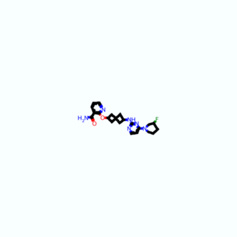 NC(=O)c1cccnc1OC1CC2(CC(Nc3nccc(N4CCCC(F)C4)n3)C2)C1